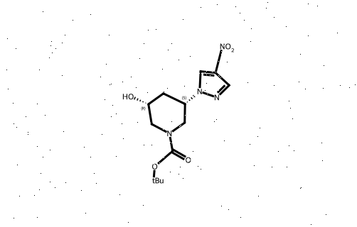 CC(C)(C)OC(=O)N1C[C@H](O)C[C@H](n2cc([N+](=O)[O-])cn2)C1